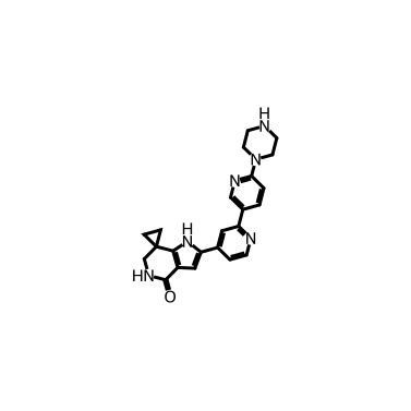 O=C1NCC2(CC2)c2[nH]c(-c3ccnc(-c4ccc(N5CCNCC5)nc4)c3)cc21